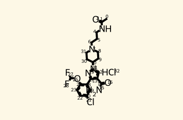 CC(=O)NCCCN1CCC(n2cc(C(N)=O)c(-c3cc(Cl)ccc3OC(F)F)n2)CC1.Cl